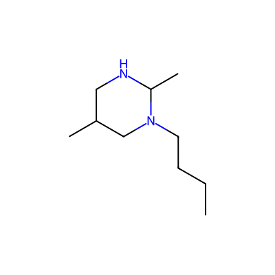 CCCCN1CC(C)CNC1C